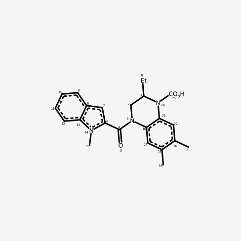 CCC1CN(C(=O)c2cc3ccccc3n2C)c2cc(C)c(C)cc2N1C(=O)O